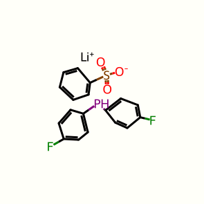 Fc1ccc(Pc2ccc(F)cc2)cc1.O=S(=O)([O-])c1ccccc1.[Li+]